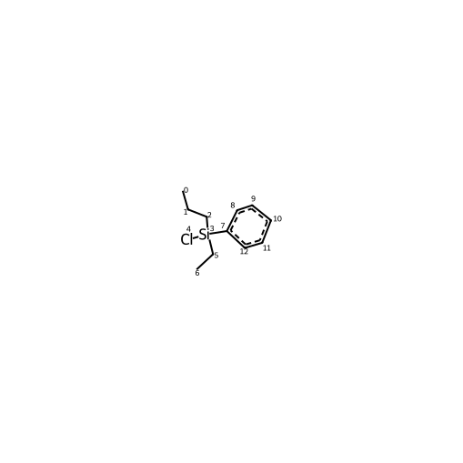 CCC[Si](Cl)(CC)c1ccccc1